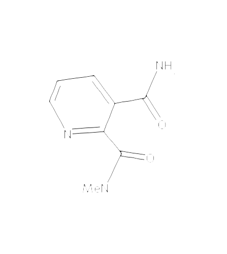 CNC(=O)c1ncccc1C(N)=O